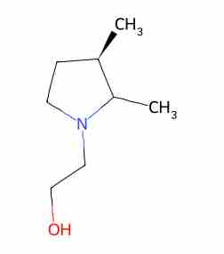 CC1[C@H](C)CCN1CCO